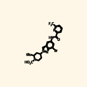 CC(C)(C)C1CC(n2cc3cc(NC(=O)c4cccc(C(F)(F)F)n4)cc(Br)c3n2)CCN1C(=O)O